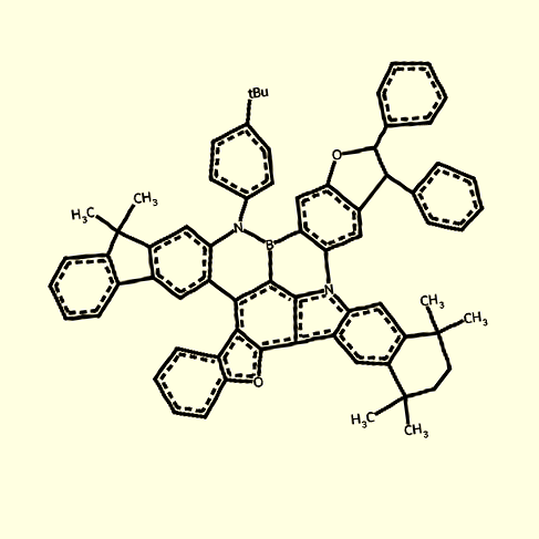 CC(C)(C)c1ccc(N2B3c4cc5c(cc4-n4c6cc7c(cc6c6c8oc9ccccc9c8c(c3c64)-c3cc4c(cc32)C(C)(C)c2ccccc2-4)C(C)(C)CCC7(C)C)C(c2ccccc2)C(c2ccccc2)O5)cc1